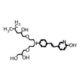 CC(C)CC(O)COCCN(CCOCC(O)CO)c1ccc(/C=C/c2ccc(O)nc2)cc1